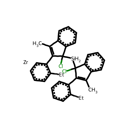 CCc1ccccc1C1=C(C)c2ccccc2C1(Cl)[SiH2]C1(Cl)C(c2ccccc2CC)=C(C)c2ccccc21.[Zr]